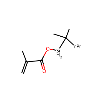 C=C(C)C(=O)O[SiH2]C(C)(C)CCC